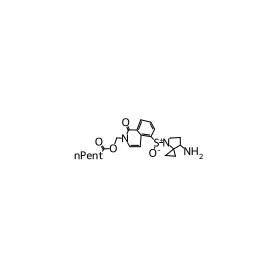 CCCCCC(=O)OCn1ccc2c([S+]([O-])N3CCC(N)C34CC4)cccc2c1=O